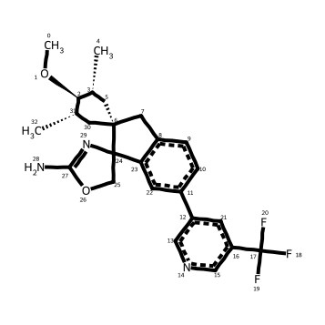 CO[C@H]1[C@H](C)C[C@@]2(Cc3ccc(-c4cncc(C(F)(F)F)c4)cc3C23COC(N)=N3)C[C@@H]1C